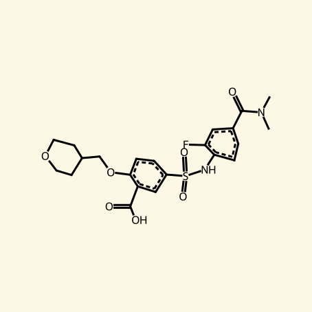 CN(C)C(=O)c1ccc(NS(=O)(=O)c2ccc(OCC3CCOCC3)c(C(=O)O)c2)c(F)c1